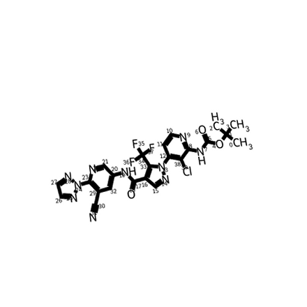 CC(C)(C)OC(=O)Nc1nccc(-n2ncc(C(=O)Nc3cnc(-n4nccn4)c(C#N)c3)c2C(F)(F)F)c1Cl